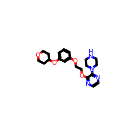 c1cc(OCCOc2nccnc2N2CCNCC2)cc(OC2CCOCC2)c1